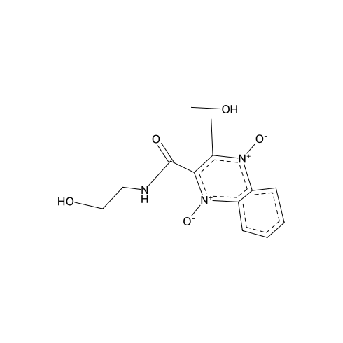 CO.Cc1c(C(=O)NCCO)[n+]([O-])c2ccccc2[n+]1[O-]